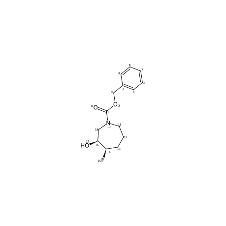 O=C(OCc1ccccc1)N1CCC[C@@H](F)[C@@H](O)C1